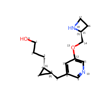 OCCC[C@H]1C[C@@H]1Cc1cncc(OC[C@@H]2CCN2)c1